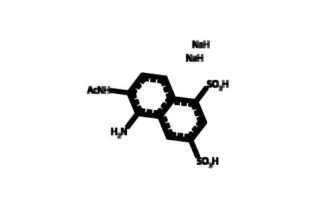 CC(=O)Nc1ccc2c(S(=O)(=O)O)cc(S(=O)(=O)O)cc2c1N.[NaH].[NaH]